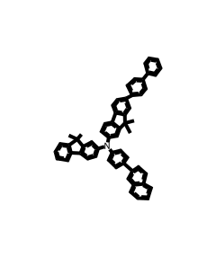 CC1(C)c2ccccc2-c2ccc(N(c3ccc(-c4ccc5ccccc5c4)cc3)c3ccc4c(c3)C(C)(C)c3cc(-c5ccc(-c6ccccc6)cc5)ccc3-4)cc21